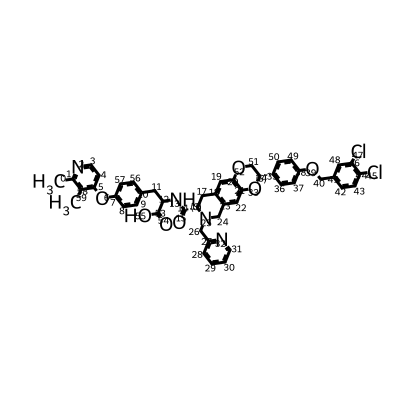 Cc1nccc(Oc2ccc(CC(NC(=O)[C@@H]3Cc4cc5c(cc4CN3Cc3ccccn3)O[C@@H](c3ccc(OCc4ccc(Cl)c(Cl)c4)cc3)CO5)C(=O)O)cc2)c1C